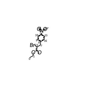 CCOC(=O)C(Br)Cc1ccc([N+](=O)[O-])cc1